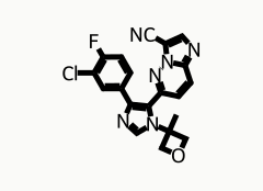 CC1(n2cnc(-c3ccc(F)c(Cl)c3)c2-c2ccc3ncc(C#N)n3n2)COC1